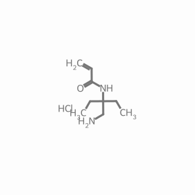 C=CC(=O)NC(CC)(CC)CN.Cl